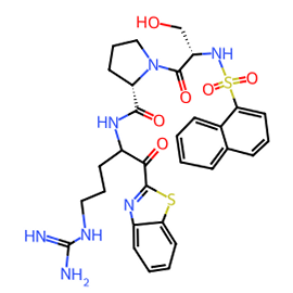 N=C(N)NCCCC(NC(=O)[C@@H]1CCCN1C(=O)[C@H](CO)NS(=O)(=O)c1cccc2ccccc12)C(=O)c1nc2ccccc2s1